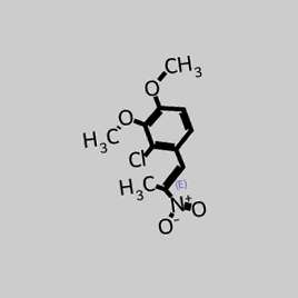 COc1ccc(/C=C(\C)[N+](=O)[O-])c(Cl)c1OC